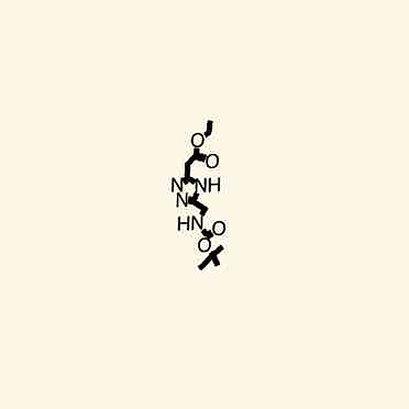 CCOC(=O)Cc1nnc(CNC(=O)OC(C)(C)C)[nH]1